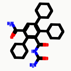 NC(=O)NC(=O)c1c(C2CCCCC2)c(C(N)=O)cc(C2CCCCC2)c1C1CCCCC1